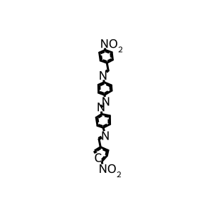 O=[N+]([O-])c1ccc(/C=N/c2ccc(/N=N/c3ccc(/N=C/c4ccc([N+](=O)[O-])cc4)cc3)cc2)cc1